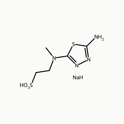 CN(CCS(=O)(=O)O)c1nnc(N)s1.[NaH]